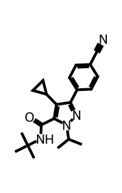 CC(C)n1nc(-c2ccc(C#N)cc2)c(C2CC2)c1C(=O)NC(C)(C)C